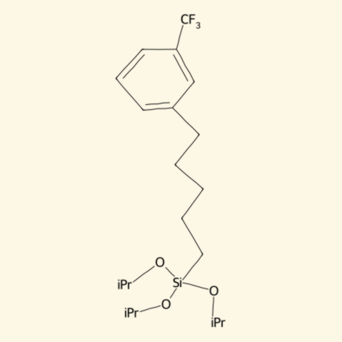 CC(C)O[Si](CCCCCc1cccc(C(F)(F)F)c1)(OC(C)C)OC(C)C